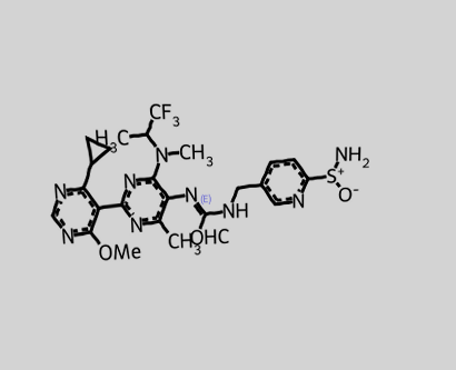 COc1ncnc(C2CC2)c1-c1nc(C)c(/N=C(\C=O)NCc2ccc([S+](N)[O-])nc2)c(N(C)C(C)C(F)(F)F)n1